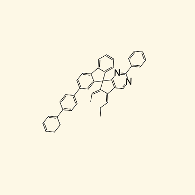 C/C=C1\C(=C/CC)c2cnc(-c3ccccc3)nc2C12c1ccccc1-c1ccc(-c3ccc(C4=CC=CCC4)cc3)cc12